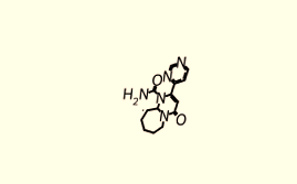 NC(=O)N1C(c2ccncn2)=CC(=O)N2CCCC[CH]C21